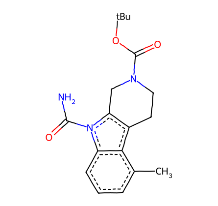 Cc1cccc2c1c1c(n2C(N)=O)CN(C(=O)OC(C)(C)C)CC1